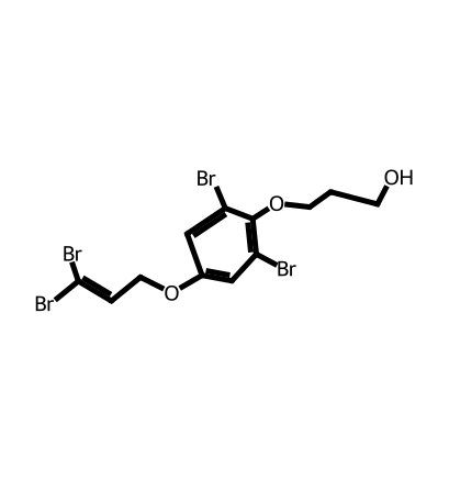 OCCCOc1c(Br)cc(OCC=C(Br)Br)cc1Br